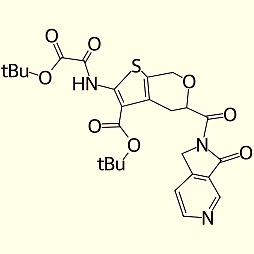 CC(C)(C)OC(=O)C(=O)Nc1sc2c(c1C(=O)OC(C)(C)C)CC(C(=O)N1Cc3ccncc3C1=O)OC2